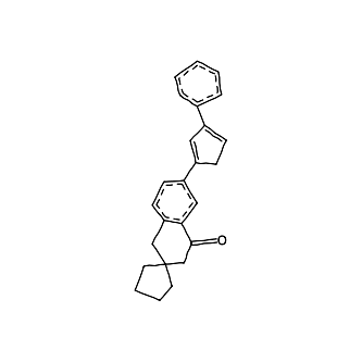 O=C1CC2(CCCC2)Cc2ccc(C3=CC(c4ccccc4)=CC3)cc21